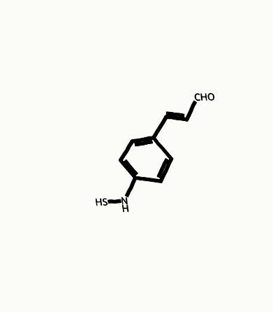 O=C/C=C/c1ccc(NS)cc1